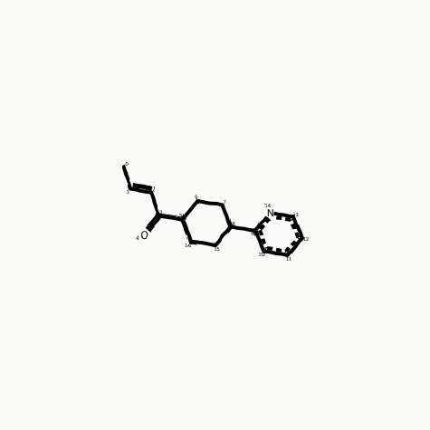 C/C=C/C(=O)C1CCC(c2ccccn2)CC1